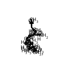 C=C(CC)[C@@H]([C@@H](CC(=O)N1CCC[C@H]1[C@H](OC)[C@@H](C)C(=O)N[C@@H](Cc1ccccc1)C(=O)NCc1ccc(NC(=O)[C@H](CCCCNC(N)=O)NC(=O)[C@@H](NC(=O)CCCC#Cc2cnc(S(C)(=O)=O)nc2)C(C)C)cc1)OC)N(C)C(=O)[C@@H](NC(=O)[C@H](C(C)C)N(C)C)C(C)C